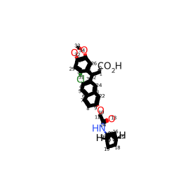 O=C(O)CC(c1ccc2ccc(OCC(=O)N[C@H]3C[C@@H]4CC[C@H]3C4)cc2c1)c1cc2c(cc1Cl)OCO2